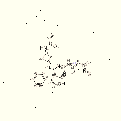 C=CC(=O)N[C@H]1C[C@H](Oc2nc(N/C(C)=C/N(C)N=C)nc3[nH]cc(-c4ccccn4)c23)C1